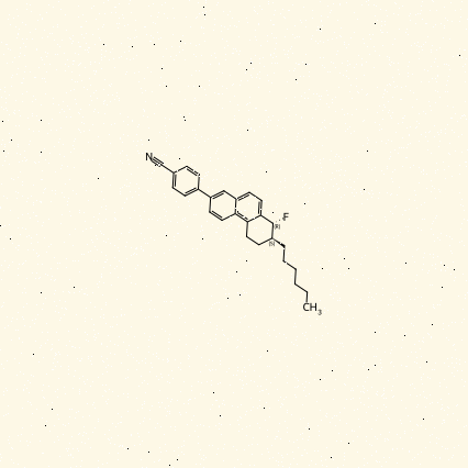 CCCCCC[C@H]1CCc2c(ccc3cc(-c4ccc(C#N)cc4)ccc23)[C@@H]1F